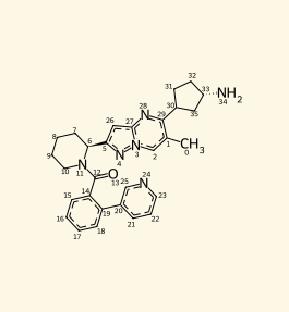 Cc1cn2nc([C@@H]3CCCCN3C(=O)c3ccccc3-c3cccnc3)cc2nc1C1CC[C@H](N)C1